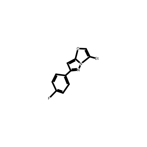 CCc1coc2cc(-c3ccc(F)cc3)nn12